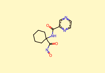 O=NC(=O)C1(NC(=O)c2cnccn2)CCCCC1